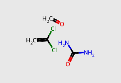 C=C(Cl)Cl.C=O.NC(N)=O